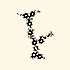 COc1ccc(C(NC(=O)C2CCC(COc3ncc(S(=O)(=O)NC(=O)c4ccc(N5CCN(CC6=C(c7ccc(Cl)cc7)CC(C)(C)CC6)CC5)cc4Oc4cccc5c4cnn5COCC[Si](C)(C)C)cc3Cl)CC2)c2ccc(OC)cc2)cc1